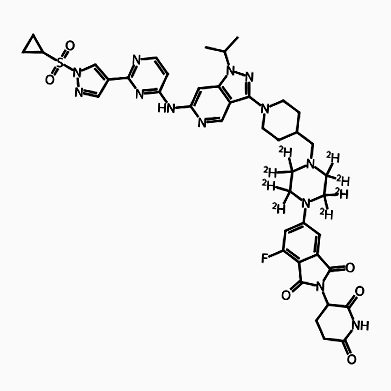 [2H]C1([2H])N(CC2CCN(c3nn(C(C)C)c4cc(Nc5ccnc(-c6cnn(S(=O)(=O)C7CC7)c6)n5)ncc34)CC2)C([2H])([2H])C([2H])([2H])N(c2cc(F)c3c(c2)C(=O)N(C2CCC(=O)NC2=O)C3=O)C1([2H])[2H]